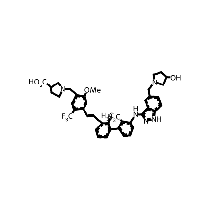 COc1cc(/C=C/c2cccc(-c3cccc(Nc4n[nH]c5ccc(CN6CCC(O)C6)cc45)c3C)c2C)c(C(F)(F)F)cc1CN1CCC(C(=O)O)C1